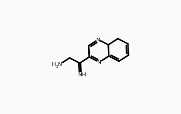 N=C(CN)C1=NC2=CC=CCC2N=C1